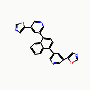 c1ccc2c(-c3cncc(-c4cnco4)c3)ccc(-c3cncc(-c4cnco4)c3)c2c1